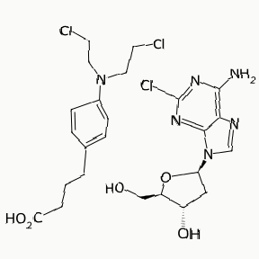 Nc1nc(Cl)nc2c1ncn2[C@H]1C[C@H](O)[C@@H](CO)O1.O=C(O)CCCc1ccc(N(CCCl)CCCl)cc1